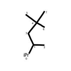 CC(C)C(C)[CH]C(C)(C)C